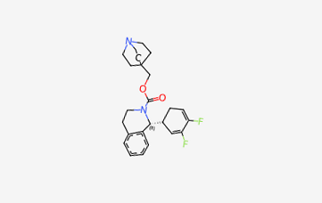 O=C(OCC12CCN(CC1)CC2)N1CCc2ccccc2[C@H]1C1C=C(F)C(F)=CC1